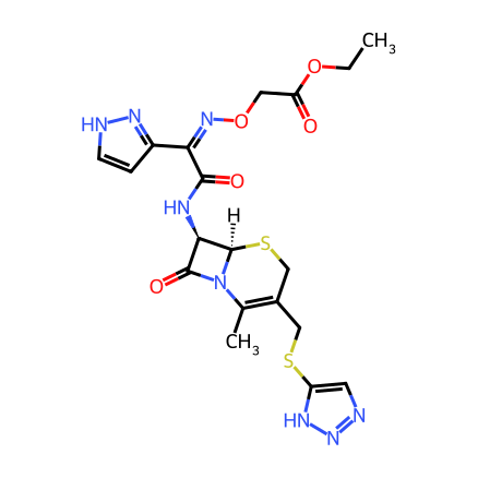 CCOC(=O)CO/N=C(\C(=O)N[C@@H]1C(=O)N2C(C)=C(CSc3cnn[nH]3)CS[C@H]12)c1cc[nH]n1